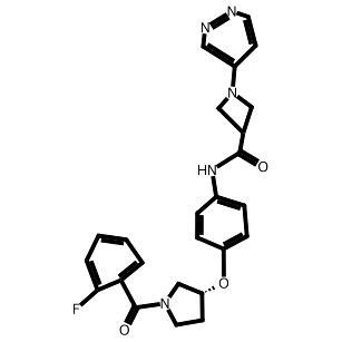 O=C(Nc1ccc(O[C@@H]2CCN(C(=O)c3ccccc3F)C2)cc1)C1CN(c2ccnnc2)C1